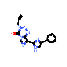 C#CCn1nnc2c(-c3nc(-c4ccccc4)c[nH]3)ncn2c1=O